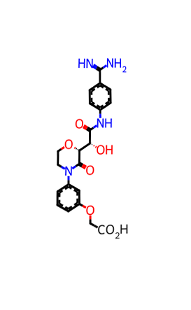 N=C(N)c1ccc(NC(=O)[C@H](O)[C@H]2OCCN(c3cccc(OCC(=O)O)c3)C2=O)cc1